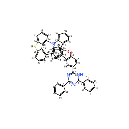 c1ccc(C2=NC(c3ccccc3)NC(c3ccc4oc5ccc(-c6cccc7sc8cccc(-n9c%10ccccc%10c%10ccccc%109)c8c67)cc5c4c3)=N2)cc1